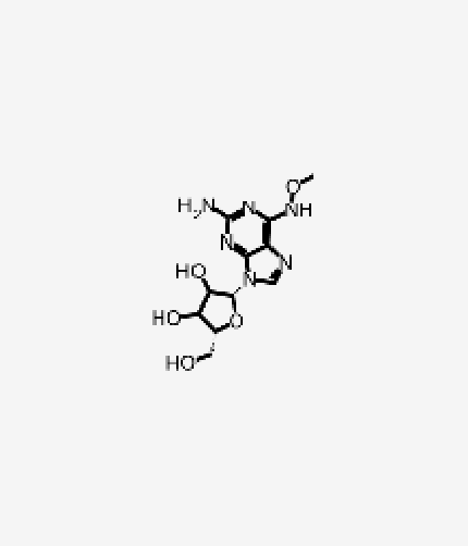 CONc1nc(N)nc2c1ncn2[C@@H]1O[C@H](CO)C(O)C1O